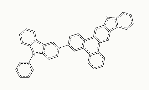 c1ccc(-n2c3ccccc3c3cc(-c4ccc5c(c4)c4ccccc4c4cc6c(cc54)sc4ccccc46)ccc32)cc1